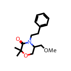 COCC1COC(C)(C)C(=O)N1CCc1ccccc1